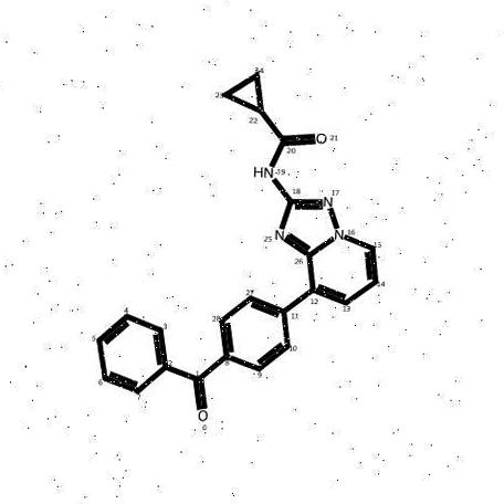 O=C(c1ccccc1)c1ccc(-c2cccn3nc(NC(=O)C4CC4)nc23)cc1